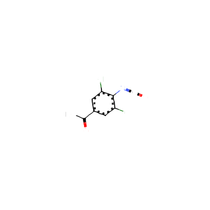 CC(=O)c1cc(Cl)c(N=C=O)c(Cl)c1